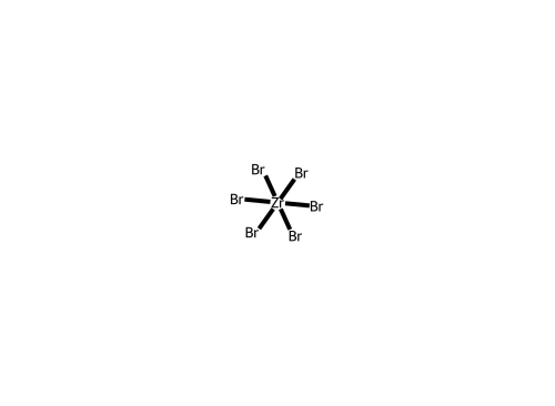 [Br][Zr]([Br])([Br])([Br])([Br])[Br]